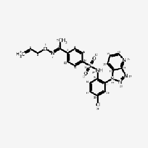 C=CCON=C(C)c1ccc(S(=O)(=O)Nc2ccc(Cl)cc2-n2nnc3ncccc32)cc1